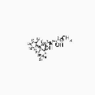 COC[C@@H](O)CNCC(=O)N1CCc2ccccc2C1C1CCC(F)(F)CC1